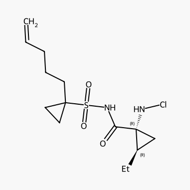 C=CCCCC1(S(=O)(=O)NC(=O)[C@@]2(NCl)C[C@H]2CC)CC1